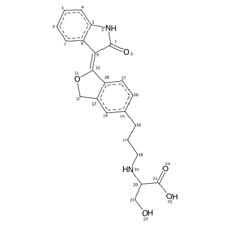 O=C1Nc2ccccc2/C1=C1\OCc2cc(CCCNC(CO)C(=O)O)ccc21